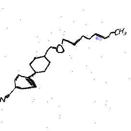 CC/C=C/CCCCOCC1CCC(c2ccc(C#N)cc2)CC1